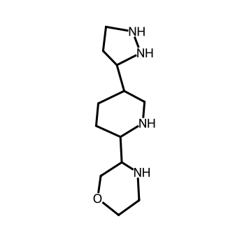 C1CC(C2CCC(C3COCCN3)NC2)NN1